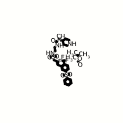 CC(C)(C)OC=O.CN(C(=O)NCCNS(=O)(=O)CC=Cc1cc(S(=O)(=O)c2ccccc2)ccc1C(F)(F)F)C1CCNCC1